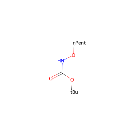 [CH2]CCCCONC(=O)OC(C)(C)C